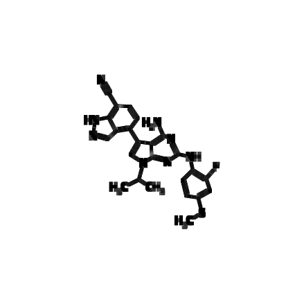 CSc1ccc(Nc2nc(N)c3c(-c4ccc(C#N)c5[nH]ncc45)cn(C(C)C)c3n2)c(F)c1